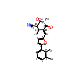 Cc1cccc(-c2ccc(/C=C3/C(=O)N(C)C(=O)C(C#N)C3C)o2)c1C